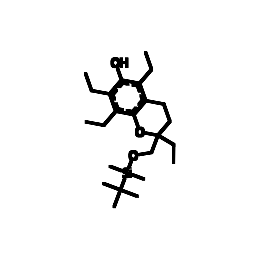 CCc1c(O)c(CC)c2c(c1CC)OC(CC)(CO[Si](C)(C)C(C)(C)C)CC2